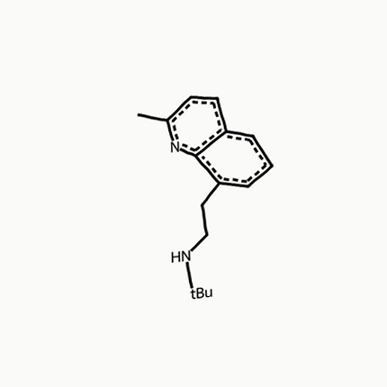 Cc1ccc2cccc(CCNC(C)(C)C)c2n1